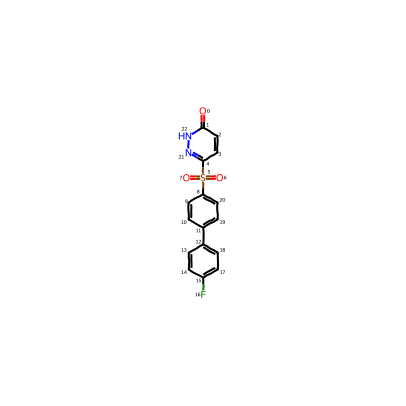 O=c1ccc(S(=O)(=O)c2ccc(-c3ccc(F)cc3)cc2)n[nH]1